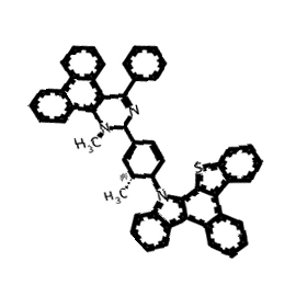 C[C@@H]1C=C(C2N=C(c3ccccc3)c3c(c4ccccc4c4ccccc34)N2C)C=CC1n1c2ccccc2c2c3ccccc3c3c4ccccc4sc3c21